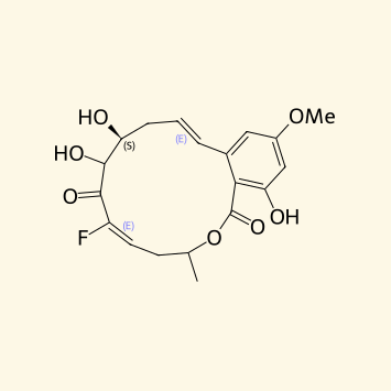 COc1cc(O)c2c(c1)/C=C/C[C@H](O)C(O)C(=O)/C(F)=C\CC(C)OC2=O